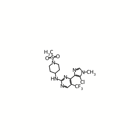 Cn1cnc(-c2nc(NC3CCN(S(C)(=O)=O)CC3)ncc2C(F)(F)F)c1Cl